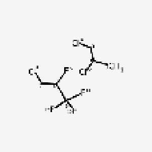 CC(Cl)CCl.FC(CCl)C(F)(F)F